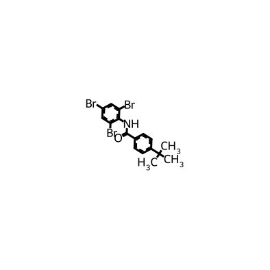 CC(C)(C)c1ccc(C(=O)Nc2c(Br)cc(Br)cc2Br)cc1